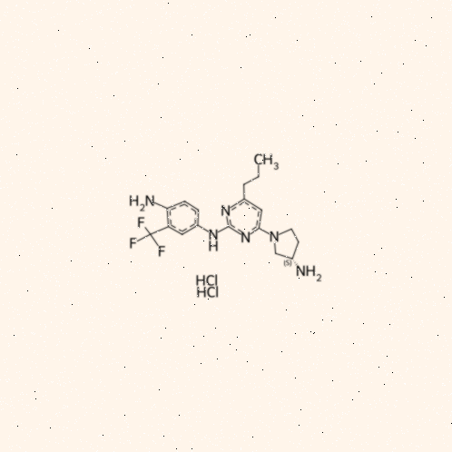 CCCc1cc(N2CC[C@H](N)C2)nc(Nc2ccc(N)c(C(F)(F)F)c2)n1.Cl.Cl